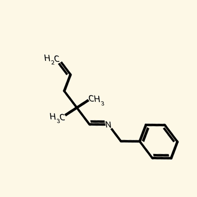 C=CCC(C)(C)C=NCc1ccccc1